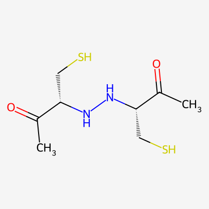 CC(=O)[C@H](CS)NN[C@@H](CS)C(C)=O